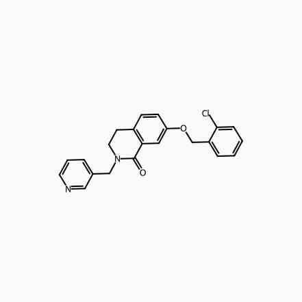 O=C1c2cc(OCc3ccccc3Cl)ccc2CCN1Cc1cccnc1